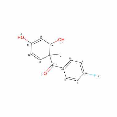 CC1(C(=O)c2ccc(F)cc2)C=CC(O)=CC1O